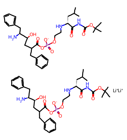 CC(C)C[C@@H](NCCOP(=O)([O-])OC(=O)C(Cc1ccccc1)C[C@H](O)[C@@H](N)Cc1ccccc1)C(=O)NC(=O)OC(C)(C)C.CC(C)C[C@@H](NCCOP(=O)([O-])OC(=O)C(Cc1ccccc1)C[C@H](O)[C@@H](N)Cc1ccccc1)C(=O)NC(=O)OC(C)(C)C.[Li+].[Li+]